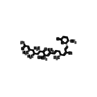 CCC(=C/[C@H](C)C/C=C/C(C)=C/[C@@H](C)C(=O)[C@@H](C)[C@H](O)[C@@H](C)C/C(C)=C/C(=O)C(C)C)/C=C/[C@@H]1OC(=O)C=C[C@@H]1C